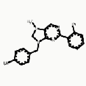 CC(C)c1ccccc1-c1ncc2c(n1)N(Cc1ccc(N)cc1)CN2C